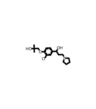 CC(C)(O)COc1ccc(C(O)CCN2CCCC2)cc1Cl